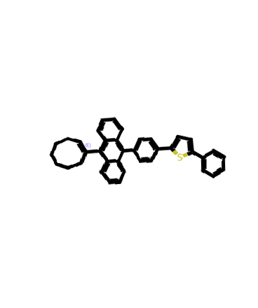 C1=C(/c2c3ccccc3c(-c3ccc(-c4ccc(-c5ccccc5)s4)cc3)c3ccccc23)CCCCCC/1